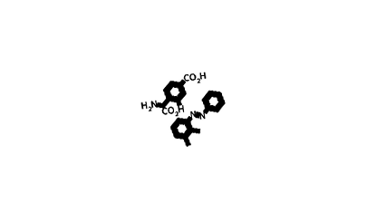 Cc1cccc(N=Nc2ccccc2)c1C.NCc1ccc(C(=O)O)cc1C(=O)O